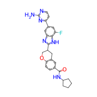 Nc1nccc(-c2cc(F)c3[nH]c(C4COc5ccc(C(=O)NC6CCCC6)cc5C4)nc3c2)n1